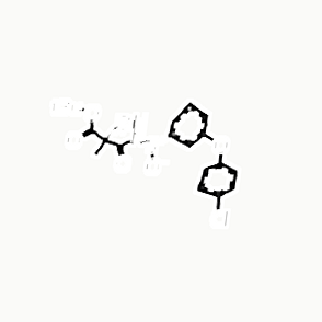 CC[C@H](C)C(C)(C(=O)N[S+]([O-])c1cccc(Oc2ccc(Cl)cc2)c1)C(=O)OC(C)(C)C